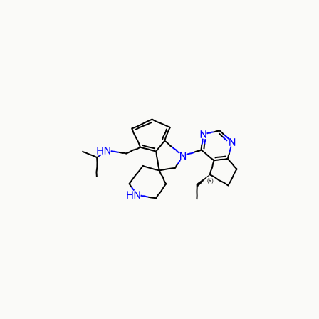 CC[C@@H]1CCc2ncnc(N3CC4(CCNCC4)c4c(CNC(C)C)cccc43)c21